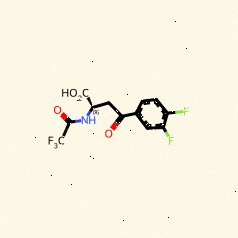 O=C(C[C@@H](NC(=O)C(F)(F)F)C(=O)O)c1ccc(F)c(F)c1